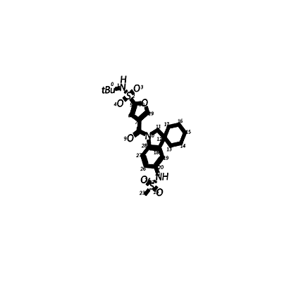 CC(C)(C)NS(=O)(=O)c1cc(C(=O)N2CC3(CCCCC3)c3cc(NS(C)(=O)=O)ccc32)co1